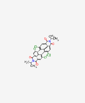 CC(C)N1C(=O)c2cc(Cl)c3c4c(Cl)cc5c6c(cc(Cl)c(c7c(Cl)cc(c2c37)C1=O)c64)C(=O)N(C(C)C)C5=O